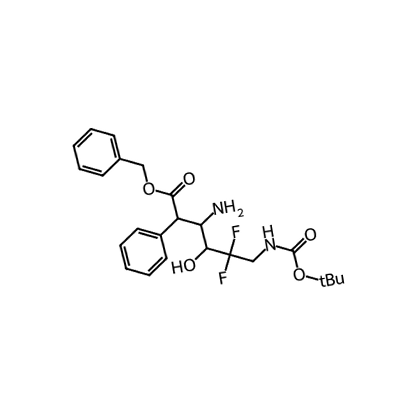 CC(C)(C)OC(=O)NCC(F)(F)C(O)C(N)C(C(=O)OCc1ccccc1)c1ccccc1